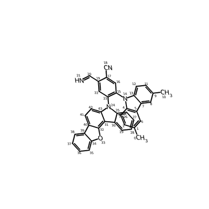 Cc1ccc2c(c1)c1cc(C)ccc1n2-c1cc(C#N)c(C=N)cc1-n1c2ccccc2c2c3oc4ccccc4c3ccc21